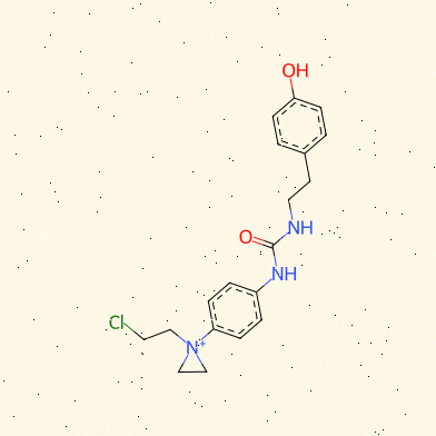 O=C(NCCc1ccc(O)cc1)Nc1ccc([N+]2(CCCl)CC2)cc1